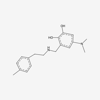 Cc1ccc(CCNCc2cc(N(C)C)cc(O)c2O)cc1